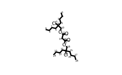 CCCCC(Cl)(CCCC)COC(=O)CC(=O)OCC(Cl)(CCCC)CCCC